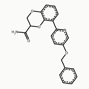 NC(=O)C1COc2cccc(-c3ccc(OCc4ccccc4)cn3)c2O1